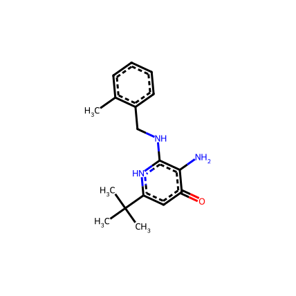 Cc1ccccc1CNc1[nH]c(C(C)(C)C)cc(=O)c1N